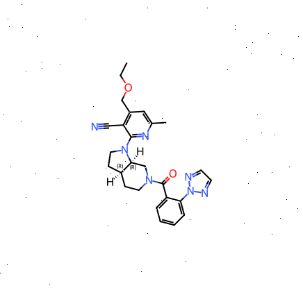 CCOCc1cc(C)nc(N2CC[C@@H]3CCN(C(=O)c4ccccc4-n4nccn4)C[C@@H]32)c1C#N